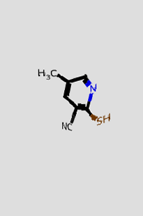 Cc1cnc(S)c(C#N)c1